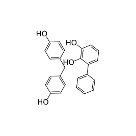 Oc1ccc(Cc2ccc(O)cc2)cc1.Oc1cccc(-c2ccccc2)c1O